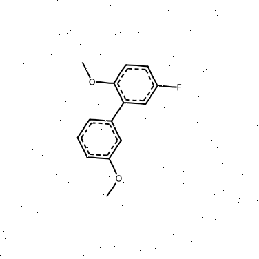 COc1cccc(-c2cc(F)ccc2OC)c1